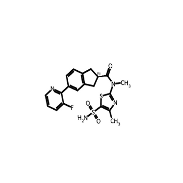 Cc1nc(N(C)C(=O)[C@@H]2Cc3ccc(-c4ncccc4F)cc3C2)sc1S(N)(=O)=O